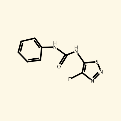 O=C(Nc1ccccc1)Nc1snnc1F